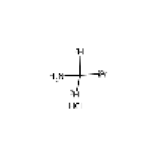 Cl.[2H]C([2H])(N)C(C)C